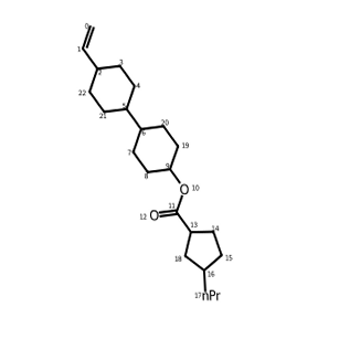 C=CC1CCC(C2CCC(OC(=O)C3CCC(CCC)C3)CC2)CC1